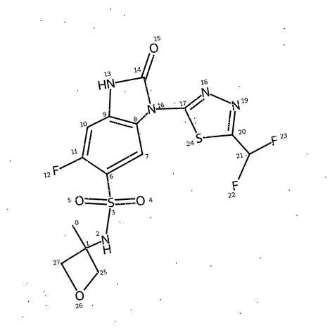 CC1(NS(=O)(=O)c2cc3c(cc2F)[nH]c(=O)n3-c2nnc(C(F)F)s2)COC1